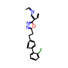 C=C/C(=C\N=C/C)c1nnc(CCc2ccc(-c3ccccc3F)cc2)o1